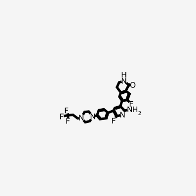 Nc1nc(F)c(-c2ccc(N3CCN(CCC(F)(F)F)CC3)cc2)cc1-c1cc2c(cc1F)C(=O)NCC2